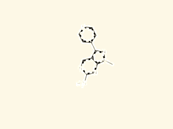 Cn1nc(-c2ccncc2)c2cnc(N)nc21